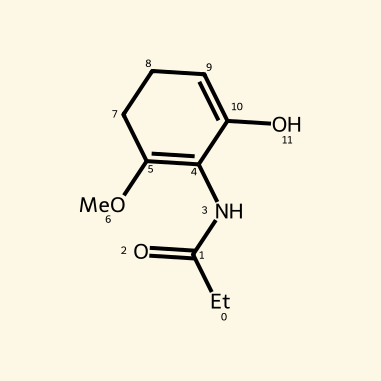 CCC(=O)NC1=C(OC)CCC=C1O